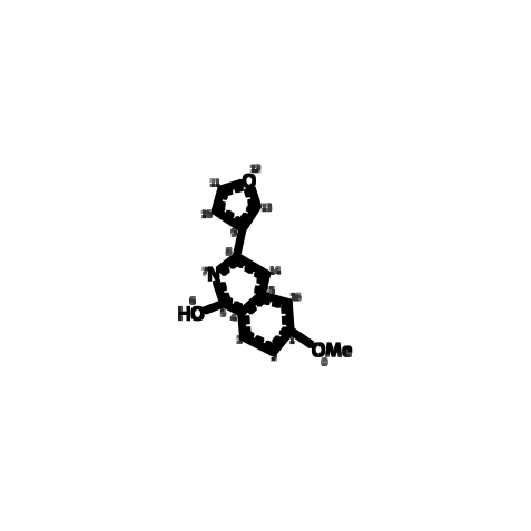 COc1ccc2c(O)nc(-c3ccoc3)cc2c1